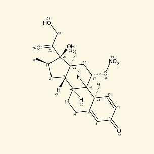 C[C@@H]1C[C@H]2[C@@H]3CCC4=CC(=O)C=C[C@]4(C)C3(F)[C@@H](O[N+](=O)[O-])C[C@]2(C)[C@@]1(O)C(=O)CO